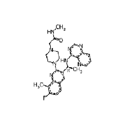 CNC(=O)CN1CCN(c2nc3c(C)c(F)ccc3cc2[C@H](C)Nc2ncnc3cccnc23)CC1